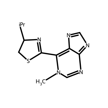 CC(C)C1CSC(c2c3ncnc-3ncn2C)=N1